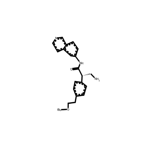 CCC(C)OCCc1ccc([C@@H](CN)C(=O)Nc2ccc3cnccc3c2)cc1